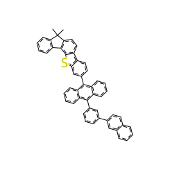 CC1(C)c2ccccc2-c2c1ccc1c2sc2cc(-c3c4ccccc4c(-c4cccc(-c5ccc6ccccc6c5)c4)c4ccccc34)ccc21